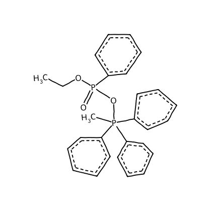 CCOP(=O)(OP(C)(c1ccccc1)(c1ccccc1)c1ccccc1)c1ccccc1